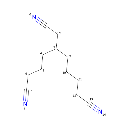 N#C[CH]C(CCCC#N)CCCCC#N